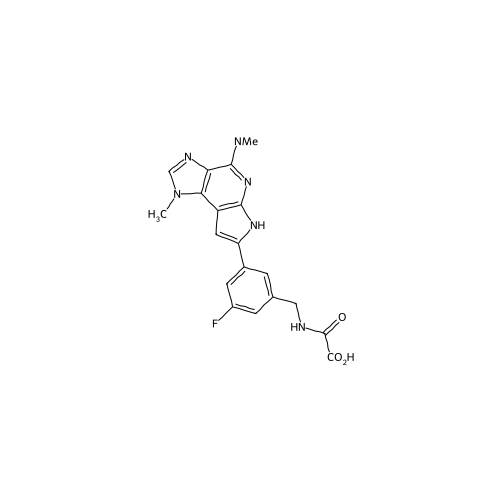 CNc1nc2[nH]c(-c3cc(F)cc(CNC(=O)C(=O)O)c3)cc2c2c1ncn2C